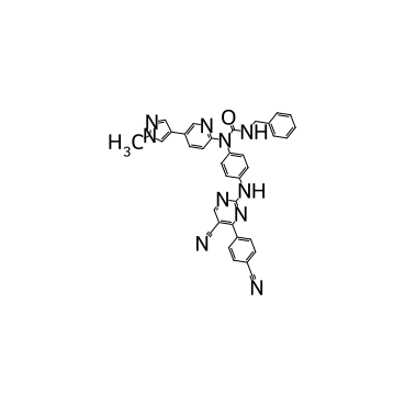 Cn1cc(-c2ccc(N(C(=O)NCc3ccccc3)c3ccc(Nc4ncc(C#N)c(-c5ccc(C#N)cc5)n4)cc3)nc2)cn1